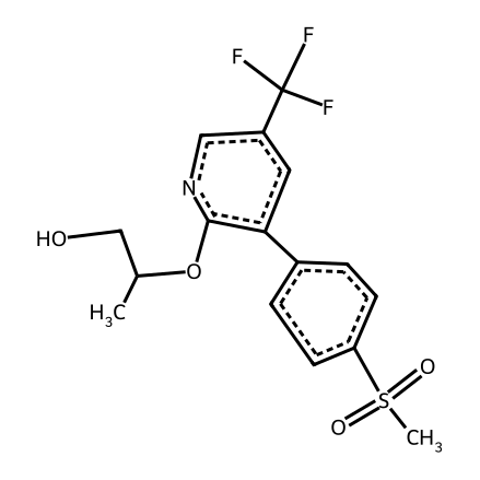 CC(CO)Oc1ncc(C(F)(F)F)cc1-c1ccc(S(C)(=O)=O)cc1